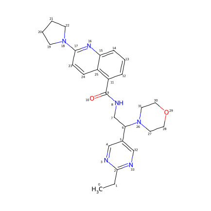 CCc1ncc(C(CNC(=O)c2cccc3nc(N4CCCC4)ccc23)N2CCOCC2)cn1